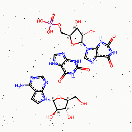 Nc1ncnc2c1ccn2[C@@H]1O[C@@H](CO)[C@H](O)[C@H]1O.O=c1[nH]c(=O)c2[nH]cnc2[nH]1.O=c1[nH]c(=O)c2ncn([C@H]3O[C@@H](COP(=O)(O)O)[C@H](O)[C@@H]3O)c2[nH]1